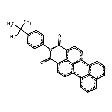 CC(C)(C)c1ccc(N2C(=O)c3ccc4c5cccc6cccc(c7ccc(c3c47)C2=O)c65)cc1